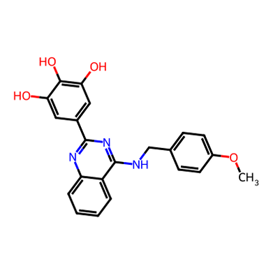 COc1ccc(CNc2nc(-c3cc(O)c(O)c(O)c3)nc3ccccc23)cc1